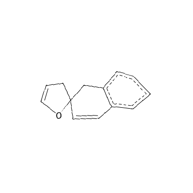 C1=COC2(C=Cc3ccccc3C2)C1